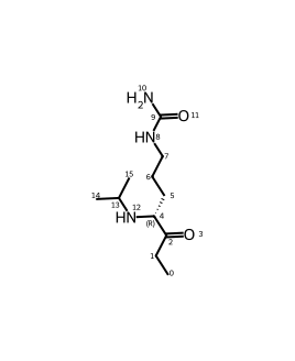 CCC(=O)[C@@H](CCCNC(N)=O)NC(C)C